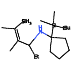 CCC(NC1([Si](C)(C)C(C)(C)C)CCCC1)C(C)=C(C)[SiH3]